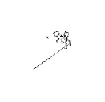 CCCCCCCCCCCCCCCCON1N=NN(c2ccccc2)C1SC(C(=O)c1ccccc1)S(=O)(=O)[O-].[K+]